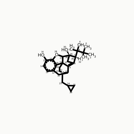 CC(C)(C)C(C)(O)[C@H]1C2=C3C4Cc5ccc(O)c6c5C3(CCN4CC3CC3)C(O6)[C@@]1(O)C2